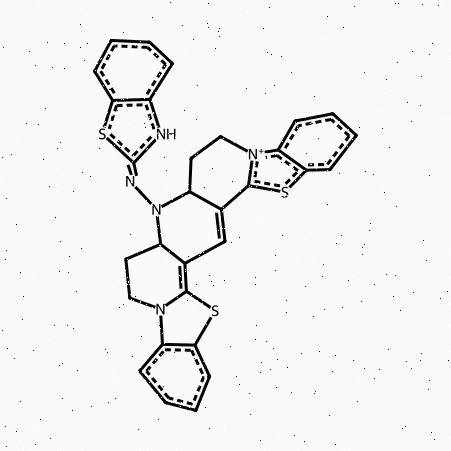 C1=C2c3sc4ccccc4[n+]3CCC2N(N=c2[nH]c3ccccc3s2)C2CCN3C(=C12)Sc1ccccc13